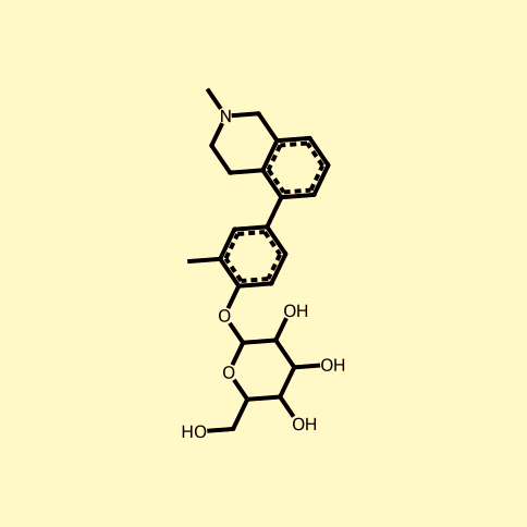 Cc1cc(-c2cccc3c2CCN(C)C3)ccc1OC1OC(CO)C(O)C(O)C1O